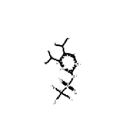 CC(C)c1cnc(OS(=O)(=O)C(F)(F)F)nc1C(C)C